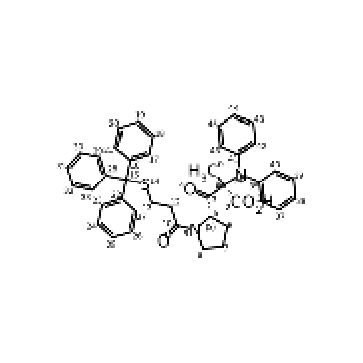 C[C@](C(=O)O)(C(=O)[C@@H]1CCCN1C(=O)CCSC(c1ccccc1)(c1ccccc1)c1ccccc1)N(c1ccccc1)c1ccccc1